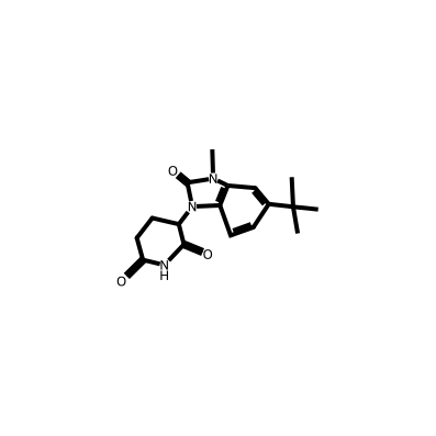 Cn1c(=O)n(C2CCC(=O)NC2=O)c2ccc(C(C)(C)C)cc21